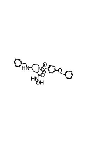 O=C(NO)[C@H]1C[C@@H](NCc2ccccc2)CCN1S(=O)(=O)c1ccc(OCc2ccccc2)cc1